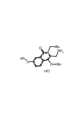 CCCCOc1c(CN)n(CC(C)(C)C)c(=O)c2cc(OCCC)ccc12.Cl